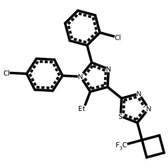 CCc1c(-c2nnc(C3(C(F)(F)F)CCC3)s2)nc(-c2ccccc2Cl)n1-c1ccc(Cl)cc1